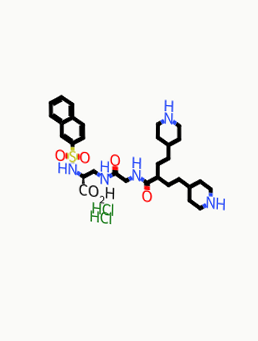 Cl.Cl.O=C(CNC(=O)C(CCC1CCNCC1)CCC1CCNCC1)NC[C@H](NS(=O)(=O)c1ccc2ccccc2c1)C(=O)O